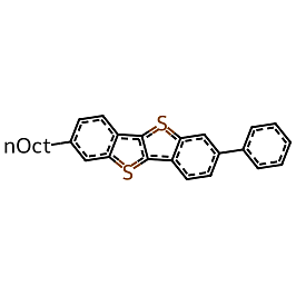 CCCCCCCCc1ccc2c(c1)sc1c3ccc(-c4ccccc4)cc3sc21